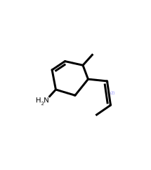 C/C=C\C1CC(N)C=CC1C